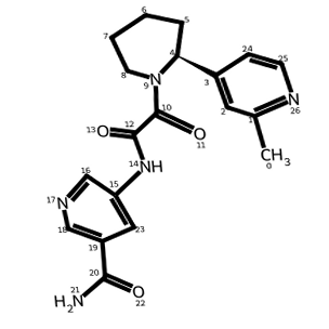 Cc1cc([C@@H]2CCCCN2C(=O)C(=O)Nc2cncc(C(N)=O)c2)ccn1